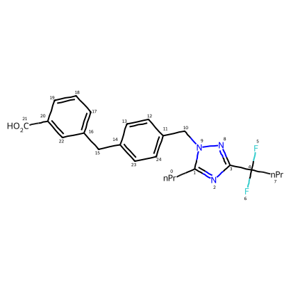 CCCc1nc(C(F)(F)CCC)nn1Cc1ccc(Cc2cccc(C(=O)O)c2)cc1